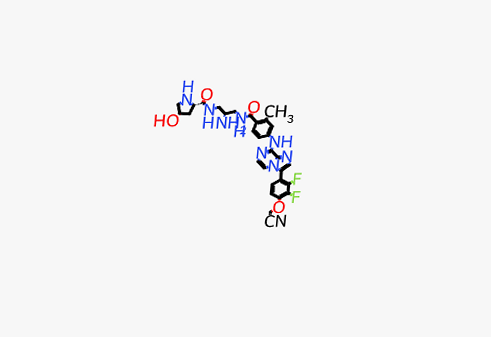 Cc1cc(Nc2nccn3c(-c4ccc(OCC#N)c(F)c4F)cnc23)ccc1C(=O)NC[C@H](N)CNC(=O)[C@@H]1C[C@@H](O)CN1